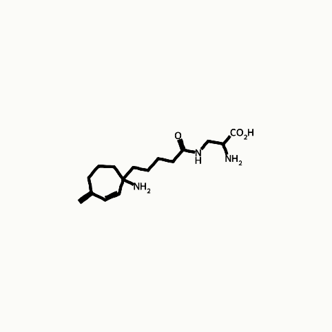 C=C1C=CC(N)(CCCCC(=O)NCC(N)C(=O)O)CCC1